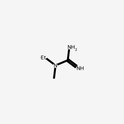 C[CH]N(C)C(=N)N